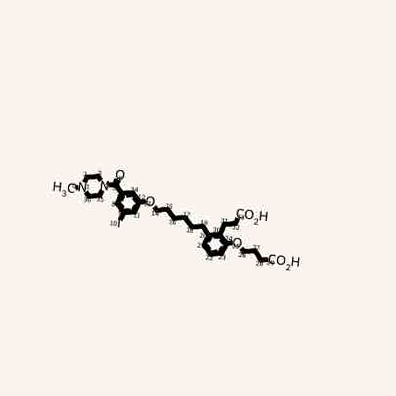 CN1CCN(C(=O)c2cc(I)cc(OCCCCCCc3cccc(OCCCC(=O)O)c3CCC(=O)O)c2)CC1